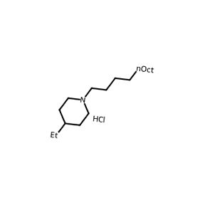 CCCCCCCCCCCCN1CCC(CC)CC1.Cl